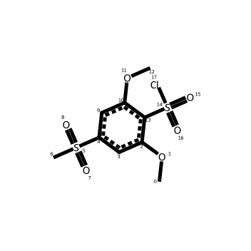 COc1cc(S(C)(=O)=O)cc(OC)c1S(=O)(=O)Cl